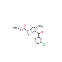 CCCCCCOC(=O)C1=CCn2c1cc(CCCC)c2C(=O)c1cccc(Cl)c1